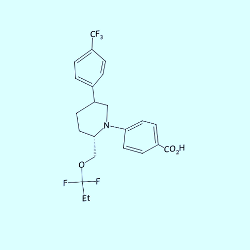 CCC(F)(F)OC[C@@H]1CCC(c2ccc(C(F)(F)F)cc2)CN1c1ccc(C(=O)O)cc1